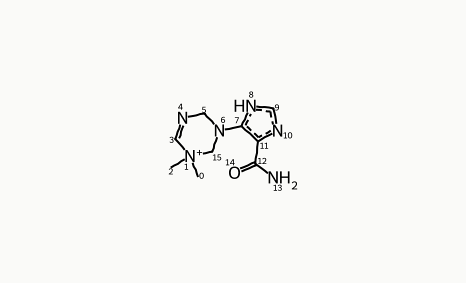 C[N+]1(C)C=NCN(c2[nH]cnc2C(N)=O)C1